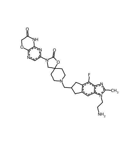 Cc1nc2c(F)c3c(cc2n1CCN)CC(CN1CCC2(CC1)CN(c1cnc4c(n1)NC(=O)CO4)C(=O)O2)C3